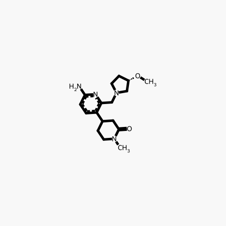 CO[C@H]1CCN(Cc2nc(N)ccc2C2CCN(C)C(=O)C2)C1